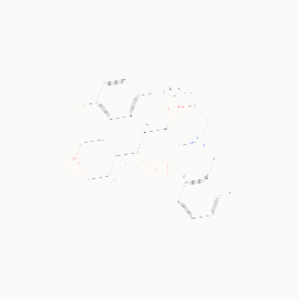 COc1ccc(F)cc1C(C1CN(Cc2ccccc2)CCO1)C(O)C1CCOCC1